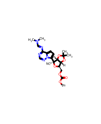 CC(C)OC(=O)OC[C@H]1O[C@@](C#N)(c2ccc3c(N=CN(C)C)ncnn23)[C@@H]2OC(C)(C)O[C@@H]21